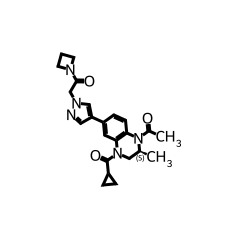 CC(=O)N1c2ccc(-c3cnn(CC(=O)N4CCC4)c3)cc2N(C(=O)C2CC2)C[C@@H]1C